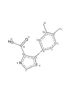 Cc1ccc(-c2scnc2C(=O)O)cc1C